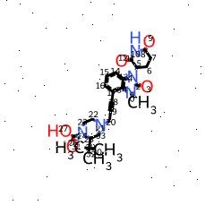 Cn1c(=O)n(C2CCC(=O)NC2=O)c2cccc(C#CCN3CCN(C(=O)O)C(C(C)(C)C)C3)c21